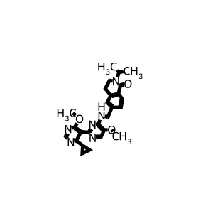 COc1cnc(-c2c(OC)ncnc2C2CC2)nc1NCc1ccc2c(c1)CCN(C(C)C)C2=O